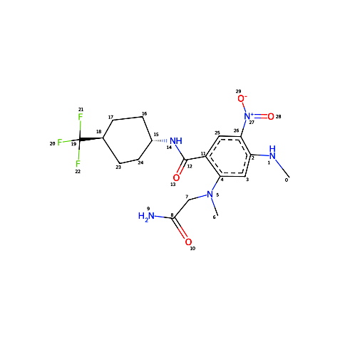 CNc1cc(N(C)CC(N)=O)c(C(=O)N[C@H]2CC[C@H](C(F)(F)F)CC2)cc1[N+](=O)[O-]